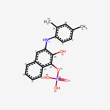 Cc1ccc(Nc2cc3ccccc3c(OP(=O)(O)O)c2O)c(C)c1